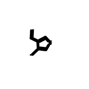 [CH2]c1cscc1C=C